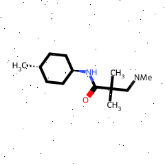 CNCC(C)(C)C(=O)N[C@H]1CC[C@H](C)CC1